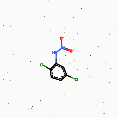 O=[N+]([O-])Nc1cc(Cl)ccc1Cl